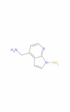 NCc1ccnc2c1ccn2P